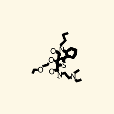 CCCCn1c(=O)c2c(OCCOCC)c(C(=O)N(C)CCN(CC)CC)sc2c2ccccc21